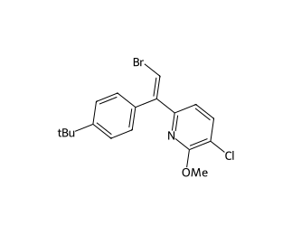 COc1nc(C(=CBr)c2ccc(C(C)(C)C)cc2)ccc1Cl